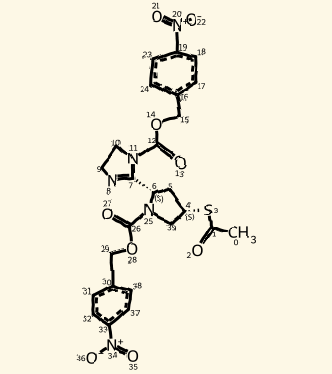 CC(=O)S[C@H]1C[C@@H](C2=NCCN2C(=O)OCc2ccc([N+](=O)[O-])cc2)N(C(=O)OCc2ccc([N+](=O)[O-])cc2)C1